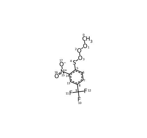 COOOSc1ccc(C(F)(F)F)cc1[N+](=O)[O-]